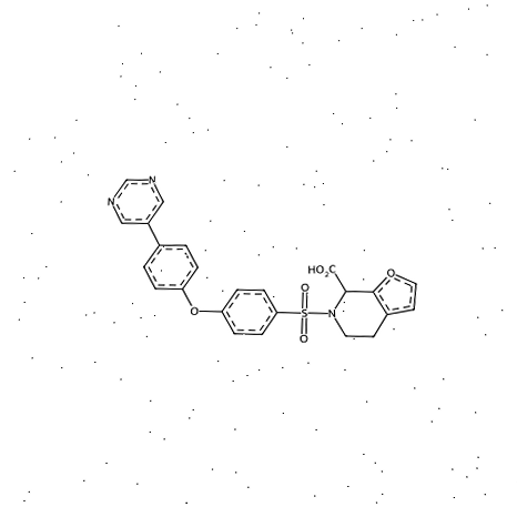 O=C(O)C1c2occc2CCN1S(=O)(=O)c1ccc(Oc2ccc(-c3cncnc3)cc2)cc1